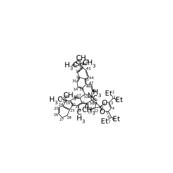 CCC(CC)C1=CC(C(CC)CC)OC2(O1)C1=CC3(C)c4c(cc5c(c4C)C4=C(C=CCC4)C5(C)C)C4c5ccc6cc([Si](C)(C)C)ccc6c5C=CN4C3(C)C12